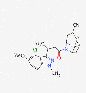 COc1ccc2c(c(C(C)CC(=O)N3C4CC5CC3CC(C#N)(C5)C4)nn2C)c1Cl